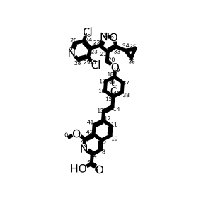 COc1nc(C(=O)O)cc2ccc(C=CC34CCC(OCc5c(-c6c(Cl)cncc6Cl)noc5C5CC5)(CC3)CC4)cc12